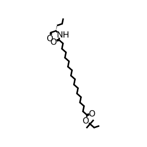 CCC[C@@H](C=O)NC(=O)CCCCCCCCCCCCCCCCC(=O)OC(C)(C)CC